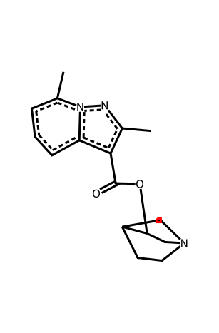 Cc1nn2c(C)cccc2c1C(=O)OC1CN2CCC1CC2